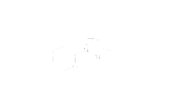 [CH2]c1ccn(C2CCCCO2)n1